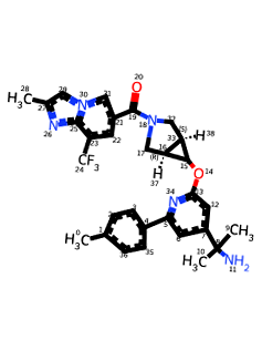 Cc1ccc(-c2cc(C(C)(C)N)cc(OC3[C@H]4CN(C(=O)c5cc(C(F)(F)F)c6nc(C)cn6c5)C[C@@H]34)n2)cc1